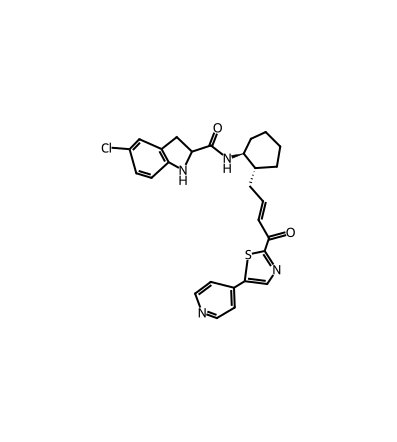 O=C(/C=C/C[C@H]1CCCC[C@@H]1NC(=O)C1Cc2cc(Cl)ccc2N1)c1ncc(-c2ccncc2)s1